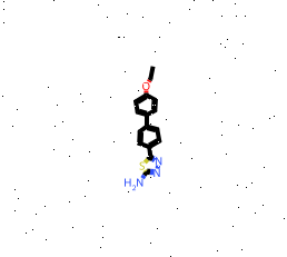 CCOc1ccc(-c2ccc(-c3nnc(N)s3)cc2)cc1